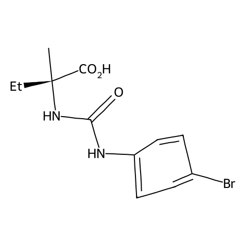 CC[C@](C)(NC(=O)Nc1ccc(Br)cc1)C(=O)O